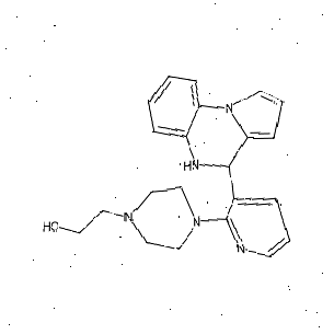 OCCN1CCN(c2ncccc2C2Nc3ccccc3-n3cccc32)CC1